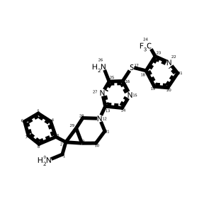 NCC1(c2ccccc2)C2CCN(c3cnc(Sc4cccnc4C(F)(F)F)c(N)n3)CC21